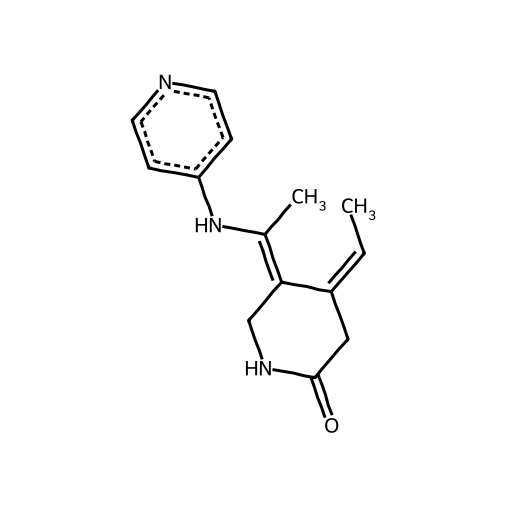 C/C=C1/CC(=O)NC/C1=C(/C)Nc1ccncc1